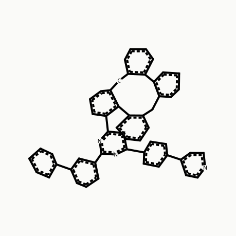 c1ccc(-c2cccc(-c3nc(-c4ccc(-c5ccncc5)cc4)nc(-c4cccc5c4-c4ccccc4Cc4ccccc4-c4ccccc4C5)n3)c2)cc1